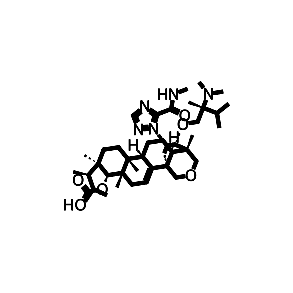 CNC(=O)c1ncnn1[C@@H]1C[C@@]23COC[C@](C)([C@@H]2CC[C@H]2C3=CC[C@]3(C)[C@H](OC(=O)O)[C@@](C)([C@H](C)C(C)C)CC[C@]23C)[C@H]1OC[C@@](C)(C(C)C)N(C)C